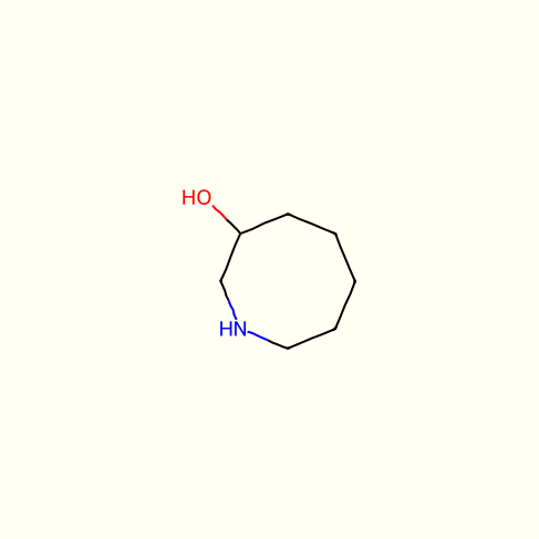 OC1CCCCCNC1